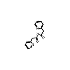 O=C(Cc1ccccn1)OC(=O)Cc1ccccn1